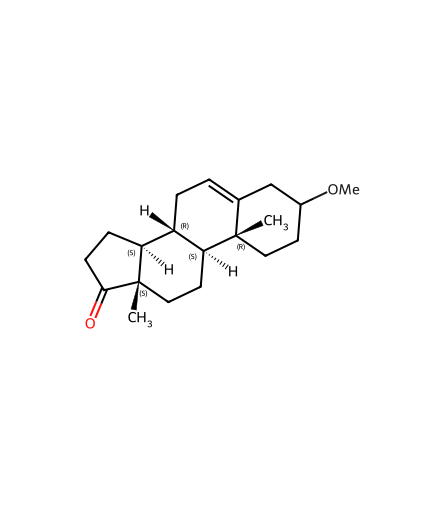 COC1CC[C@@]2(C)C(=CC[C@@H]3[C@@H]2CC[C@]2(C)C(=O)CC[C@@H]32)C1